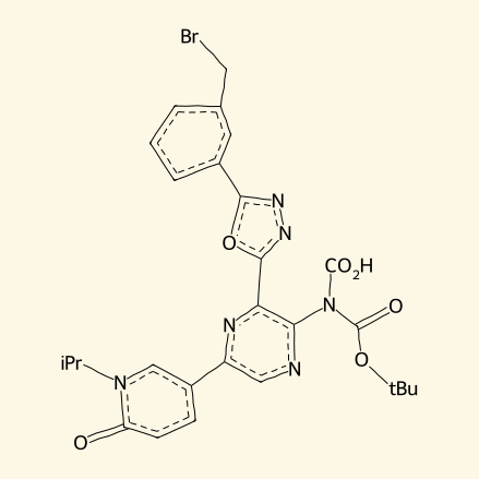 CC(C)n1cc(-c2cnc(N(C(=O)O)C(=O)OC(C)(C)C)c(-c3nnc(-c4cccc(CBr)c4)o3)n2)ccc1=O